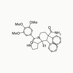 CCC1(C2CCNC2)C(c2ccccc2)C(C(N)=O)(c2ccccc2)CCN1C(=O)c1cc(OC)c(OC)c(OC)c1